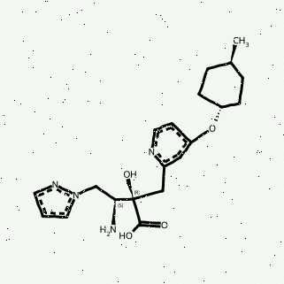 C[C@H]1CC[C@H](Oc2ccnc(C[C@](O)(C(=O)O)[C@@H](N)Cn3cccn3)c2)CC1